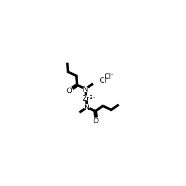 CCCC(=O)[N](C)[Zr+2][N](C)C(=O)CCC.[Cl-].[Cl-]